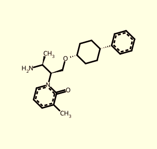 Cc1cccn([C@H](CO[C@H]2CC[C@@H](c3ccccc3)CC2)[C@H](C)N)c1=O